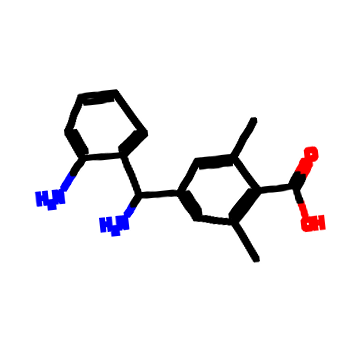 Cc1cc(C(N)c2ccccc2N)cc(C)c1C(=O)O